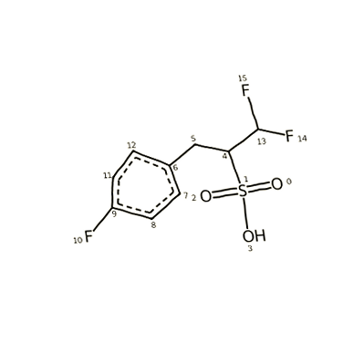 O=S(=O)(O)C(Cc1ccc(F)cc1)C(F)F